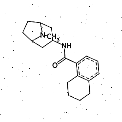 CN1C2CCC1CC(NC(=O)c1cccc3c1CCCC3)C2